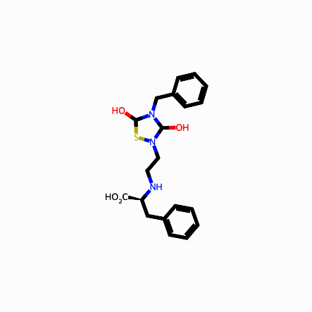 O=C(O)[C@H](Cc1ccccc1)NCCN1SC(O)N(Cc2ccccc2)C1O